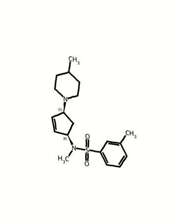 Cc1cccc(S(=O)(=O)N(C)[C@H]2C=C[C@@H](N3CCC(C)CC3)C2)c1